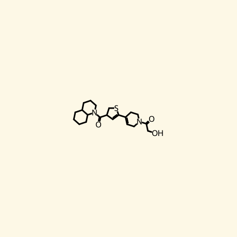 O=C(CO)N1CC=C(C2=CC(C(=O)N3CCCC4CCCCC43)CS2)CC1